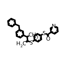 C=C(Sc1ccc(SC(=O)c2cccnc2)cc1)C(C)c1cccc(Cc2ccccc2)c1